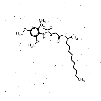 CCCCCCCCCCC(C)OC(=O)CSS(=O)(=O)Nc1c(OC)cc(OC)cc1OC